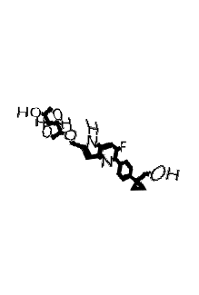 OCC1(c2ccc(-c3nc4cc(COC5CO[C@@H]6C(O)CO[C@H]56)[nH]c4cc3F)cc2)CC1